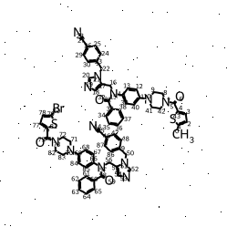 Cc1ccc(C(=O)N2CCN(c3ccc(N(Cc4cncn4Cc4ccc(C#N)cc4)C(=O)c4ccccc4)cc3)CC2)s1.N#Cc1ccc(Cn2cncc2CN(C(=O)c2ccccc2)c2ccc(N3CCN(C(=O)c4ccc(Br)s4)CC3)cc2)cc1